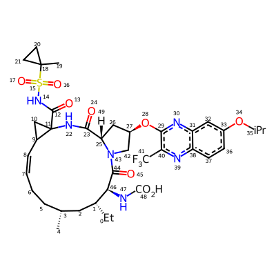 CC[C@@H]1C[C@H](C)CC/C=C\C2CC2(C(=O)NS(=O)(=O)C2(C)CC2)NC(=O)[C@@H]2C[C@@H](Oc3nc4cc(OC(C)C)ccc4nc3C(F)(F)F)CN2C(=O)[C@H]1NC(=O)O